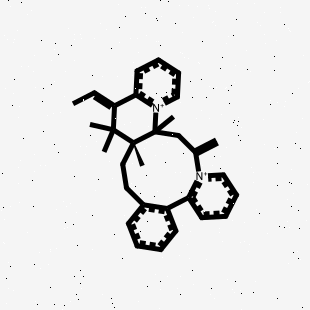 C=C1CC2(C)[n+]3ccccc3/C(=C/C)C(C)(C)[C@@]2(C)CCc2ccccc2-c2cccc[n+]21